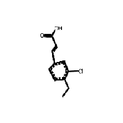 CCc1ccc(/C=C/C(=O)O)cc1Cl